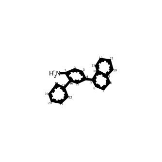 Nc1ccc(-c2cccc3ccccc23)cc1-c1ccccc1